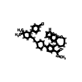 COC(=O)c1ccc(N2CCN(CCC3=C(c4ccc(Cl)cc4)CC(C)(C)CC3)CC2)cc1N1CCCCOc2nc3[nH]ccc3cc21